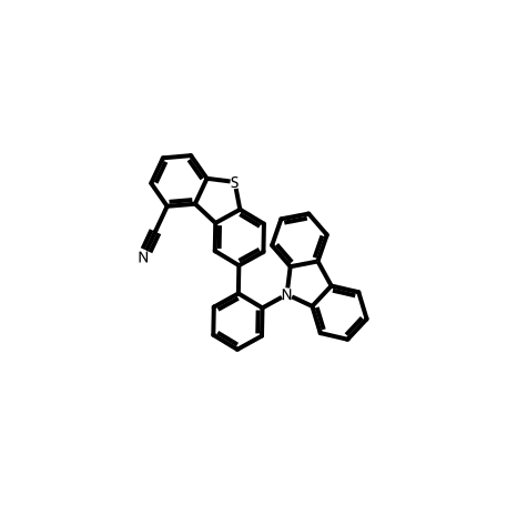 N#Cc1cccc2sc3ccc(-c4ccccc4-n4c5ccccc5c5ccccc54)cc3c12